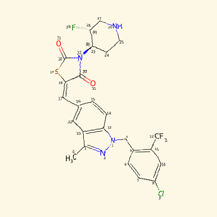 Cc1nn(Cc2ccc(Cl)cc2C(F)(F)F)c2ccc(C=C3SC(=O)N([C@@H]4CCNC[C@H]4F)C3=O)cc12